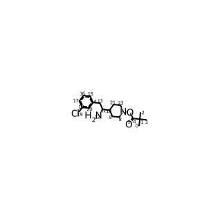 CC(C)(C)C(=O)ON1CCC(C(N)Cc2cccc(Cl)c2)CC1